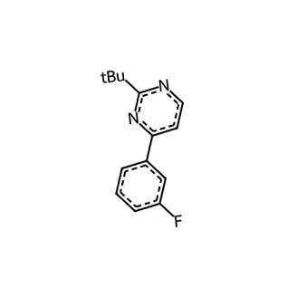 CC(C)(C)c1nccc(-c2cccc(F)c2)n1